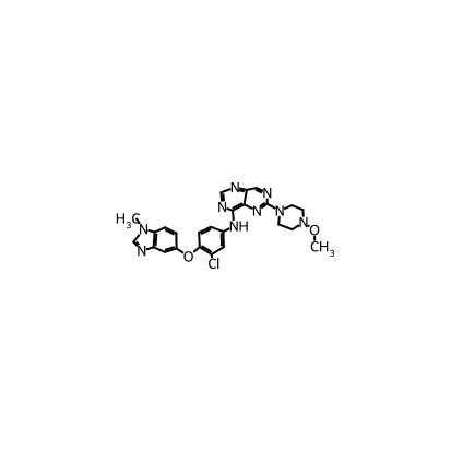 CON1CCN(c2ncc3ncnc(Nc4ccc(Oc5ccc6c(c5)ncn6C)c(Cl)c4)c3n2)CC1